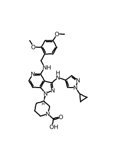 COc1ccc(CNc2nccc3c2c(Nc2cnn(C4CC4)c2)nn3[C@@H]2CCCN(C(=O)O)C2)c(OC)c1